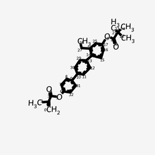 C=C(C)C(=O)Oc1ccc(-c2ccc(-c3ccc(OC(=O)C(C)(C)C)cc3CC)cc2)cc1